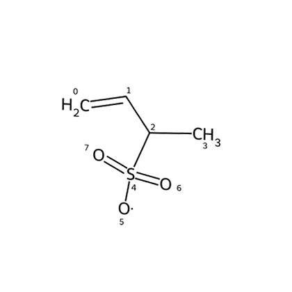 C=CC(C)S([O])(=O)=O